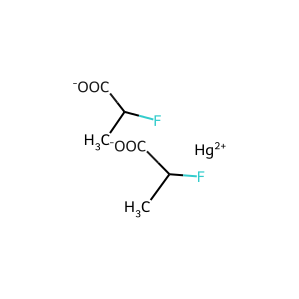 CC(F)C(=O)[O-].CC(F)C(=O)[O-].[Hg+2]